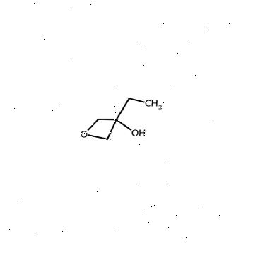 CCC1(O)[CH]OC1